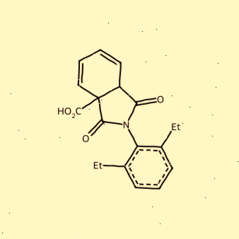 CCc1cccc(CC)c1N1C(=O)C2C=CC=CC2(C(=O)O)C1=O